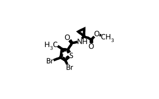 COC(=O)C1(NC(=O)c2sc(Br)c(Br)c2C)CC1